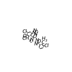 COc1cc(C(=O)N2CC[C@H]2c2noc(-c3cccc(Cl)c3C)n2)c(-n2nccn2)cc1Cl